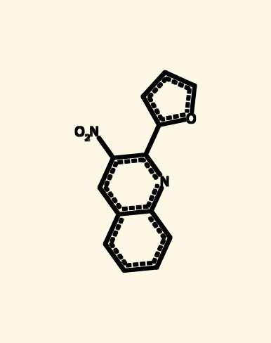 O=[N+]([O-])c1cc2ccccc2nc1-c1ccco1